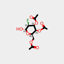 CC(=O)OC[C@H]1O[C@H](O)[C@@H](F)[C@@H](OC(C)=O)[C@H]1OC(C)=O